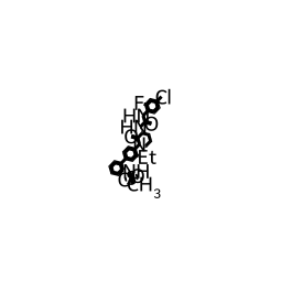 CCc1cc(-c2ccccc2NS(C)(=O)=O)ccc1N1CCC[C@@H](NC(=O)Nc2ccc(Cl)cc2F)C1=O